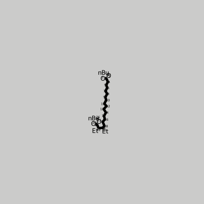 CCCCOC(=O)CCCCCCCCCCCCCCCC(CC)C(CC)C(=O)OCCCC